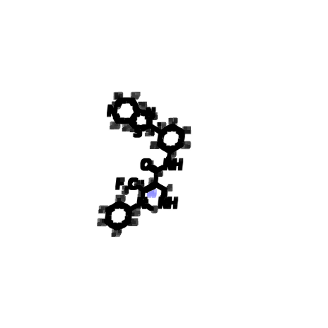 CN(/C(=C(\C=N)C(=O)Nc1cccc(-c2nc3ccncc3s2)c1)C(F)(F)F)c1ccccc1